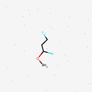 BOC(F)CCF